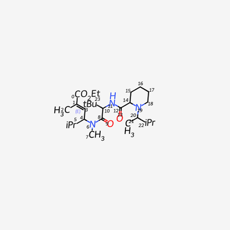 CCOC(=O)/C(C)=C/C(C(C)C)N(C)C(=O)C(NC(=O)C1CCCCN1C(C)C(C)C)C(C)(C)C